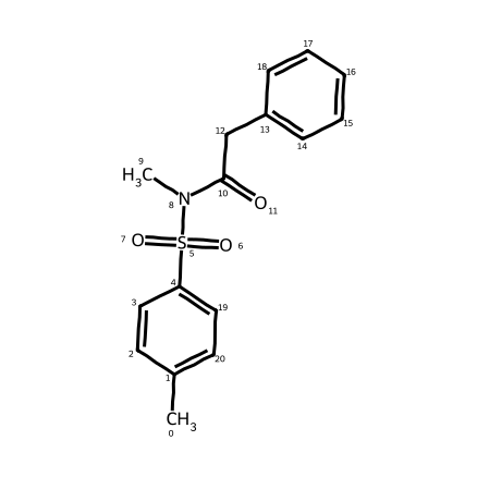 Cc1ccc(S(=O)(=O)N(C)C(=O)Cc2ccccc2)cc1